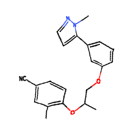 Cc1cc(C#N)ccc1OC(C)COc1cccc(-c2ccnn2C)c1